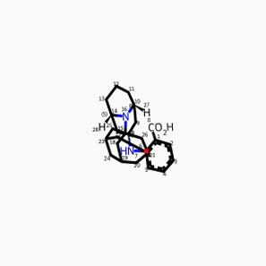 O=C(O)c1ccccc1N[C@@H]1C[C@H]2CCC[C@@H](C1)N2C12CC3CC(CC(C3)C1)C2